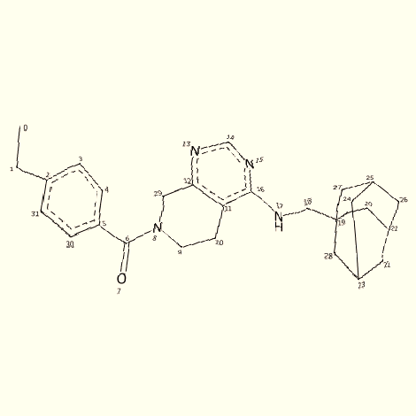 CCc1ccc(C(=O)N2CCc3c(ncnc3NCC34CC5CC(CC(C5)C3)C4)C2)cc1